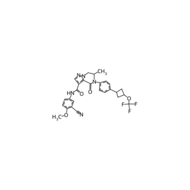 COc1ccc(NC(=O)c2cnn3c2C(=O)N(c2ccc(C4CC(OC(F)(F)F)C4)cc2)C(C)C3)cc1C#N